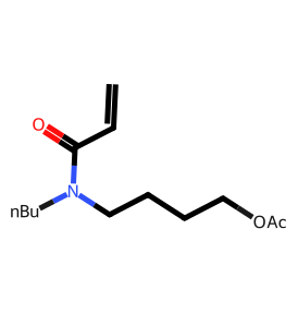 C=CC(=O)N(CCCC)CCCCOC(C)=O